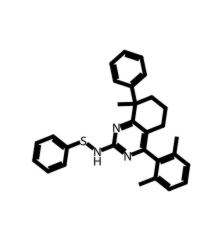 Cc1cccc(C)c1-c1nc(NSc2ccccc2)nc2c1CCCC2(C)c1ccccc1